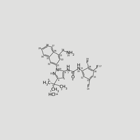 CC(C)(C)c1cc(NC(=O)Nc2cc(F)cc(F)c2F)n(-c2cc(CN)c3ccccc3c2)n1.Cl